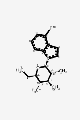 CC[C@H]1O[C@@H](n2ccc3c(F)cccc32)[C@H](C)[C@@H](C)[C@@H]1C